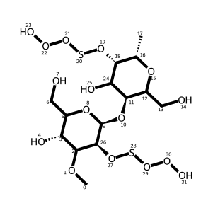 COC1[C@H](O)C(CO)O[C@@H](O[C@@H]2C(CO)O[C@@H](C)[C@@H](OSOOO)C2O)[C@H]1OSOOO